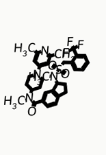 Cc1cc(N2CCC(N(C)C(=O)c3ccc4c(c3)C(N(C)S(=O)(=O)Cc3ccccc3C(F)(F)F)CC4)CC2)cc(C)n1